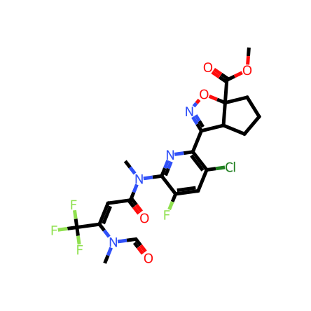 COC(=O)C12CCCC1C(c1nc(N(C)C(=O)/C=C(\N(C)C=O)C(F)(F)F)c(F)cc1Cl)=NO2